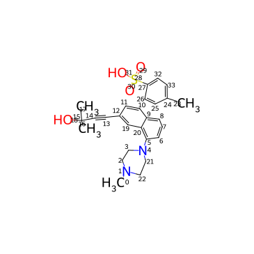 CN1CCN(c2cccc3ccc(C#CC(C)(C)O)cc23)CC1.Cc1ccc(S(=O)(=O)O)cc1